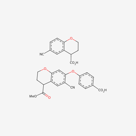 COC(=O)C1CCOc2cc(Oc3ccc(C(=O)O)cc3)c(C#N)cc21.N#Cc1ccc2c(c1)C(C(=O)O)CCO2